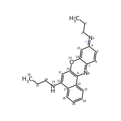 CCC/N=c1/ccc2nc3c(cc(NCCC)c4ccccc43)oc-2c1